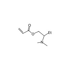 C=CC(=O)OCC(CC)N(C)C